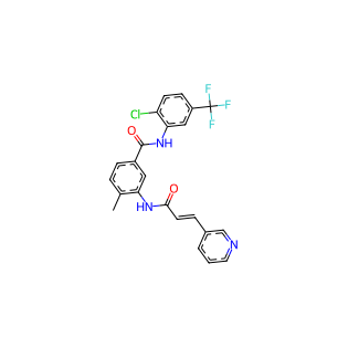 Cc1ccc(C(=O)Nc2cc(C(F)(F)F)ccc2Cl)cc1NC(=O)C=Cc1cccnc1